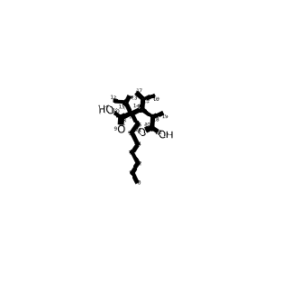 CCCCCCCC(C(=O)O)(C(C)C)C(C(C)C)C(C)C(=O)O